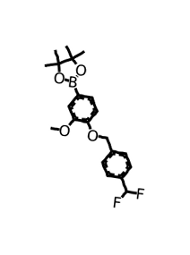 COc1cc(B2OC(C)(C)C(C)(C)O2)ccc1OCc1ccc(C(F)F)cc1